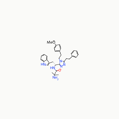 COc1ccc(CCn2c(CCc3ccccc3)nnc2[C@@H](Cc2c[nH]c3ccccc23)NC(=O)C(C)(C)N)cc1